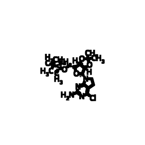 CC1(C)O[C@@H]2[C@H](O1)[C@@H](CO[Si](C)(C)C(C)(C)C)O[C@H]2N1CCc2c(Cl)nc(N)nc21